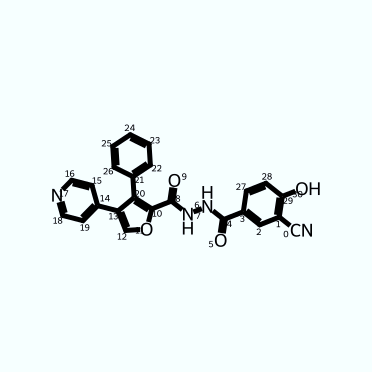 N#Cc1cc(C(=O)NNC(=O)c2occ(-c3ccncc3)c2-c2ccccc2)ccc1O